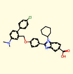 CN(C)c1ccc(-c2ccc(Cl)cc2)c(COc2ccc(-c3nc4cc(C(=O)O)ccc4n3C3CCCCC3)cc2)c1